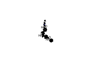 COC/C=C/C(=O)Nc1cccc(-c2cnc3[nH]cc(-c4ccc(C(=O)Nc5ccccc5)cc4)c3c2)c1